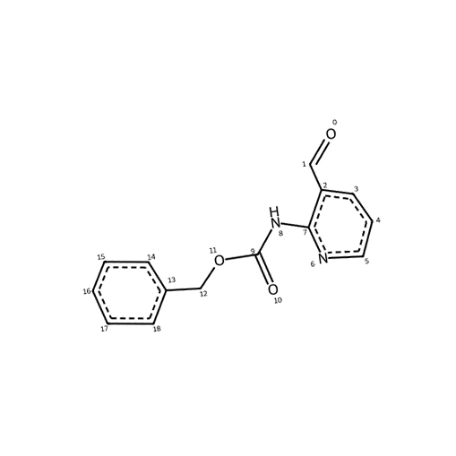 O=Cc1cccnc1NC(=O)OCc1ccccc1